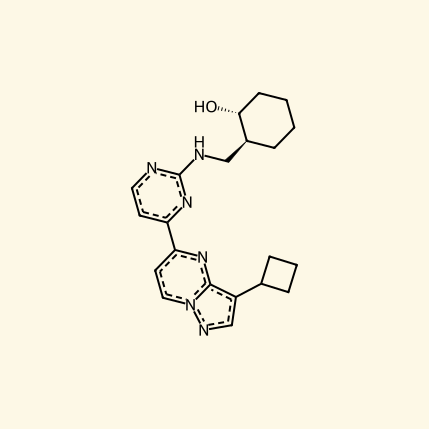 O[C@@H]1CCCC[C@H]1CNc1nccc(-c2ccn3ncc(C4CCC4)c3n2)n1